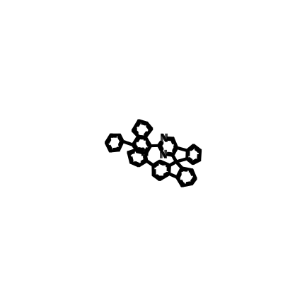 c1ccc(-c2ccc(-c3ncc4c(n3)C3(c5ccccc5-c5ccc(-c6ccccn6)cc53)c3ccccc3-4)c3ccccc23)cc1